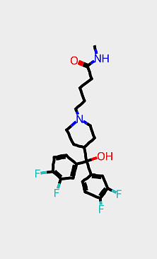 CNC(=O)CCCCN1CCC(C(O)(c2ccc(F)c(F)c2)c2ccc(F)c(F)c2)CC1